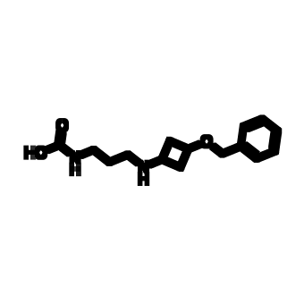 O=C(O)NCCCNC1CC(OCc2ccccc2)C1